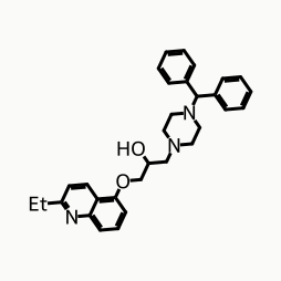 CCc1ccc2c(OCC(O)CN3CCN(C(c4ccccc4)c4ccccc4)CC3)cccc2n1